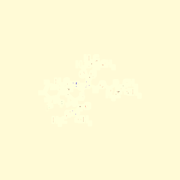 CON(C)C(=O)[C@]12CC1[C@@](C)(c1cccc(F)c1F)N=C(N(COCC[Si](C)(C)C)C(=O)OC(C)(C)C)S2